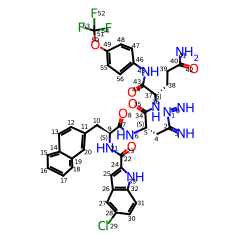 N=NC(=N)C[C@H](NC(=O)[C@H](Cc1ccc2ccccc2c1)NC(=O)c1cc2cc(Cl)ccc2[nH]1)C(=O)N[C@@H](CCC(N)=O)C(=O)Nc1ccc(OC(F)(F)F)cc1